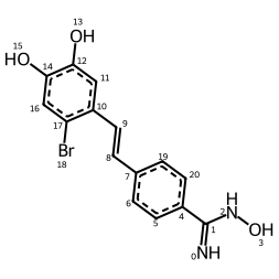 N=C(NO)c1ccc(/C=C/c2cc(O)c(O)cc2Br)cc1